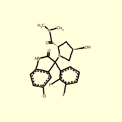 CN(C)C(=O)[C@@H]1C[C@@H](O)CN1C1(c2cccc(F)c2F)C(=O)Nc2ccc(Cl)cc21